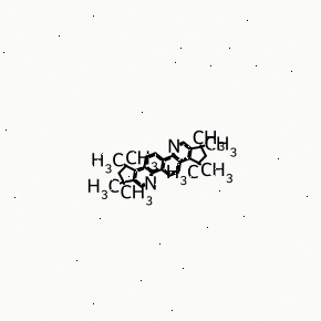 CC1(C)CC(C)(C)c2c1cnc1c2ccc2c1ccc1c3c(cnc12)C(C)(C)CC3(C)C